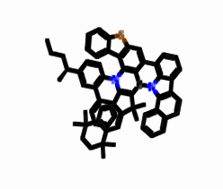 CCC[C@H](C)c1ccc(N2C3=C(B4c5c(cc6sc7ccccc7c6c52)-c2cccc5c6ccc7ccccc7c6n4c25)C(C)(C)c2cc4c(cc23)C(C)(C)CCC4(C)C)c(-c2ccccc2)c1